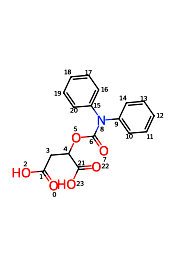 O=C(O)CC(OC(=O)N(c1ccccc1)c1ccccc1)C(=O)O